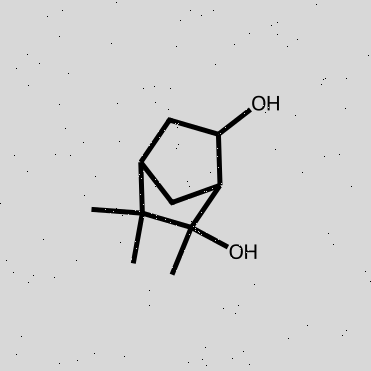 CC1(C)C2CC(O)C(C2)C1(C)O